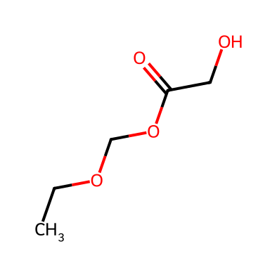 CCOCOC(=O)CO